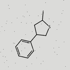 CC1CC(c2ccccc2)CS1